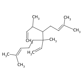 C=C[C](C)C(CC=C(C)C)C(C)(C=C)CCC=C(C)C